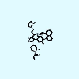 C=CC(=O)N1CC[C@H](n2nnc3c(OC[C@@H]4CCCN4C)nc4c(F)c(-c5cccc6cccc(C#N)c56)c(C)cc4c32)C[C@H]1C